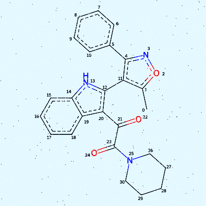 Cc1onc(-c2ccccc2)c1-c1[nH]c2ccccc2c1C(=O)C(=O)N1CCCCC1